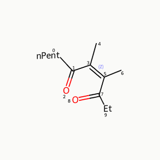 CCCCCC(=O)/C(C)=C(/C)C(=O)CC